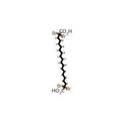 O=C(O)C(Br)(Br)CCCCCCCCCCCCCCCCC(Br)(Br)C(=O)O